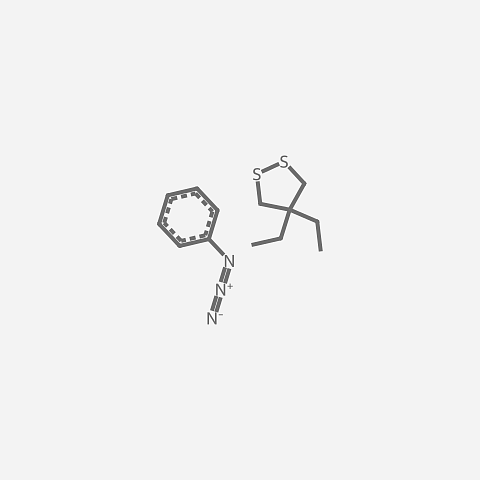 CCC1(CC)CSSC1.[N-]=[N+]=Nc1ccccc1